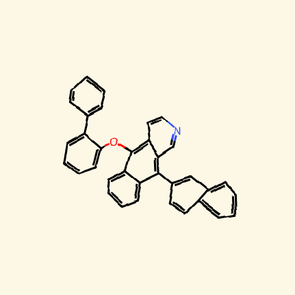 c1ccc(-c2ccccc2Oc2c3ccccc3c(-c3ccc4ccccc4c3)c3cnccc23)cc1